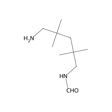 CC(C)(CN)CC(C)(C)CNC=O